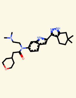 CN(C)CCN(C(=O)CC1CCOCC1)c1ccc2cc(-c3n[nH]c4c3CCC(C)(C)C4)[nH]c2c1